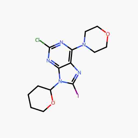 Clc1nc(N2CCOCC2)c2nc(I)n(C3CCCCO3)c2n1